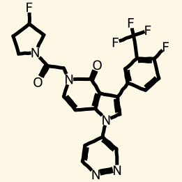 O=C(Cn1ccc2c(c(-c3ccc(F)c(C(F)(F)F)c3)cn2-c2ccnnc2)c1=O)N1CCC(F)C1